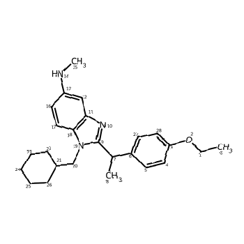 CCOc1ccc(C(C)c2nc3cc(NC)ccc3n2CC2CCCCC2)cc1